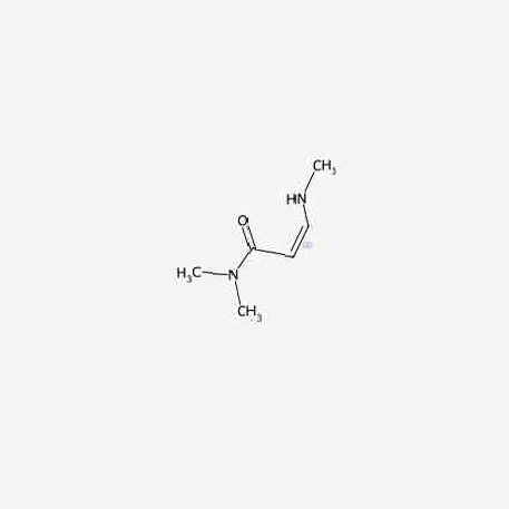 CN/C=C\C(=O)N(C)C